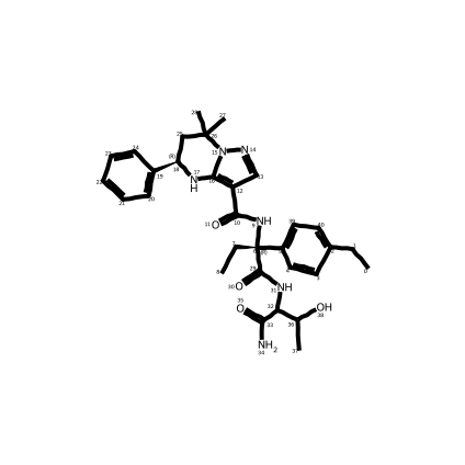 CCc1ccc([C@@](CC)(NC(=O)c2cnn3c2N[C@@H](c2ccccc2)CC3(C)C)C(=O)NC(C(N)=O)C(C)O)cc1